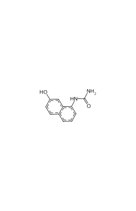 NC(=O)Nc1cccc2ccc(O)cc12